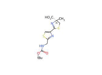 CC(C)(C)OC(=O)NCc1nc(C2=N[C@](C)(C(=O)O)CS2)cs1